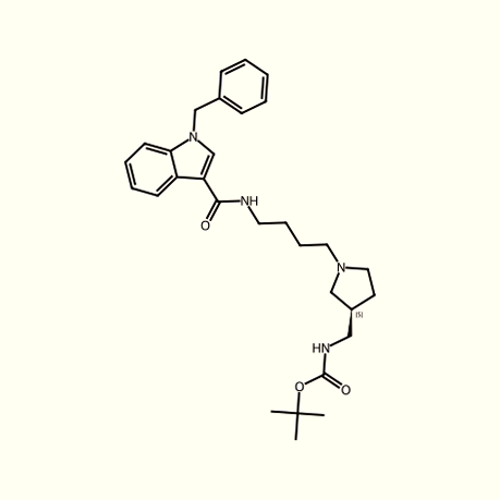 CC(C)(C)OC(=O)NC[C@@H]1CCN(CCCCNC(=O)c2cn(Cc3ccccc3)c3ccccc23)C1